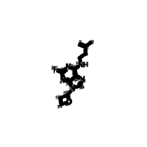 C=C(C)CCNc1nc(F)nc2c1ncn2C1CCO1